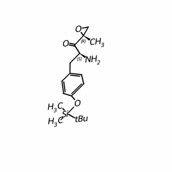 CC(C)(C)[Si](C)(C)Oc1ccc(C[C@H](N)C(=O)[C@@]2(C)CO2)cc1